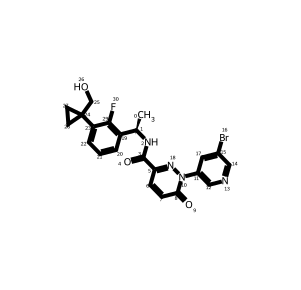 C[C@@H](NC(=O)c1ccc(=O)n(-c2cncc(Br)c2)n1)c1cccc(C2(CO)CC2)c1F